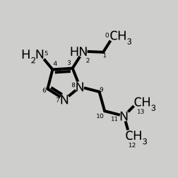 CCNc1c(N)cnn1CCN(C)C